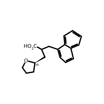 O=C(O)C(Cc1cccc2ccccc12)C[C@H]1CCCO1